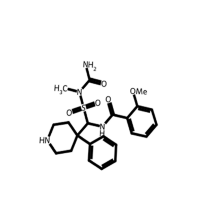 COc1ccccc1C(=O)NC(C1(c2ccccc2)CCNCC1)S(=O)(=O)N(C)C(N)=O